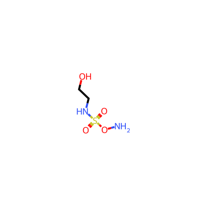 NOS(=O)(=O)NCCO